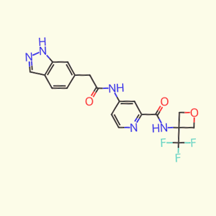 O=C(Cc1ccc2cn[nH]c2c1)Nc1ccnc(C(=O)NC2(C(F)(F)F)COC2)c1